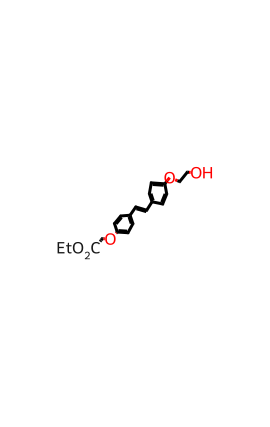 CCOC(=O)COc1ccc(/C=C/c2ccc(OCCO)cc2)cc1